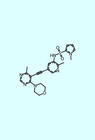 Cc1ncc(C#Cc2c(C)ncnc2N2CCOCC2)cc1NS(=O)(=O)c1cccn1C